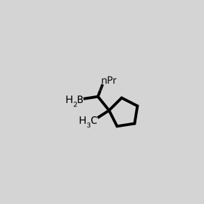 BC(CCC)C1(C)CCCC1